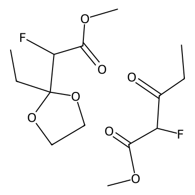 CCC(=O)C(F)C(=O)OC.CCC1(C(F)C(=O)OC)OCCO1